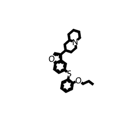 CCCOc1ccccc1Sc1ccc2occ(C3CCN4CCCCC4C3)c2c1